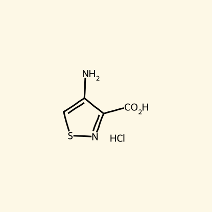 Cl.Nc1csnc1C(=O)O